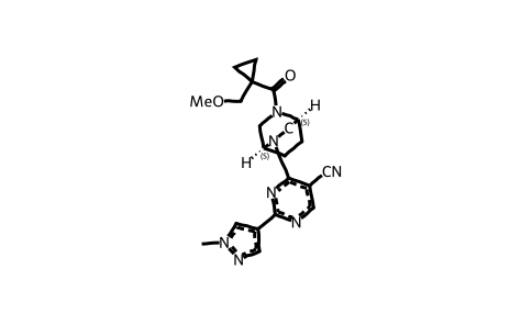 COCC1(C(=O)N2C[C@@H]3CC[C@H]2CN3c2nc(-c3cnn(C)c3)ncc2C#N)CC1